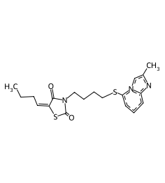 CCCC=C1SC(=O)N(CCCCSc2cccc3nc(C)cn23)C1=O